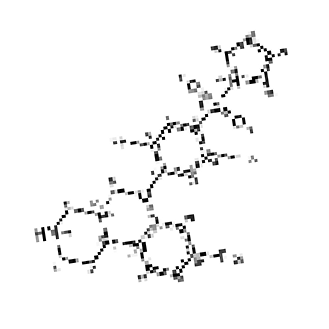 O=S(=O)(c1cc(F)c(OC[C@H]2CNCC[C@@H]2c2ccc(F)cc2)cc1F)n1cccn1